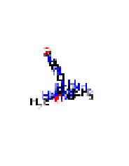 C=CCNC(=O)c1cnc(Nc2ccc(N3CCC4(CC3)CCN(C3COC3)CC4)cc2)nc1Nc1cccc(C(C)(C)N)n1